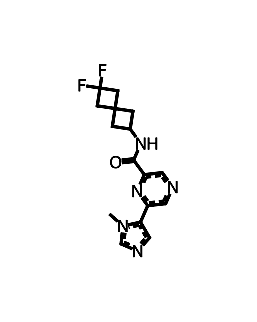 Cn1cncc1-c1cncc(C(=O)NC2CC3(C2)CC(F)(F)C3)n1